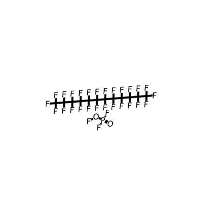 FC(F)(F)C(F)(F)C(F)(F)C(F)(F)C(F)(F)C(F)(F)C(F)(F)C(F)(F)C(F)(F)C(F)(F)C(F)(F)C(F)(F)F.O=P(F)(F)OF